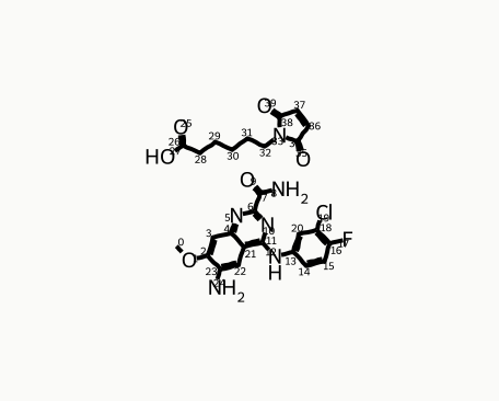 COc1cc2nc(C(N)=O)nc(Nc3ccc(F)c(Cl)c3)c2cc1N.O=C(O)CCCCCN1C(=O)C=CC1=O